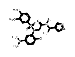 CCN(C(=O)CN(c1cc(N(C)C)ccc1Cl)S(=O)(=O)c1ccc(OC)c(OC)c1)C(C)c1cn[nH]c1